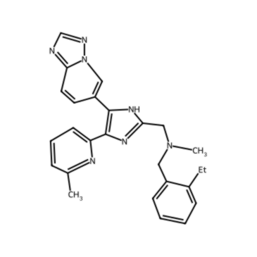 CCc1ccccc1CN(C)Cc1nc(-c2cccc(C)n2)c(-c2ccc3ncnn3c2)[nH]1